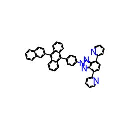 c1ccc(-c2ccc(-c3ccccn3)c3nn(-c4ccc(-c5c6ccccc6c(-c6ccc7ccccc7c6)c6ccccc56)cc4)nc23)nc1